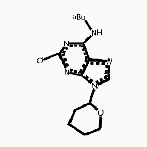 CCCCNc1nc(Cl)nc2c1ncn2C1CCCCO1